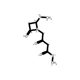 COC(=O)CC(=O)CN1C(=O)CC1SC